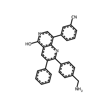 N#Cc1cccc(-c2cnc(O)c3cc(-c4ccccc4)c(-c4ccc(CN)cc4)nc23)c1